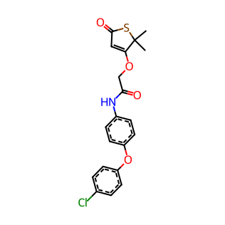 CC1(C)SC(=O)C=C1OCC(=O)Nc1ccc(Oc2ccc(Cl)cc2)cc1